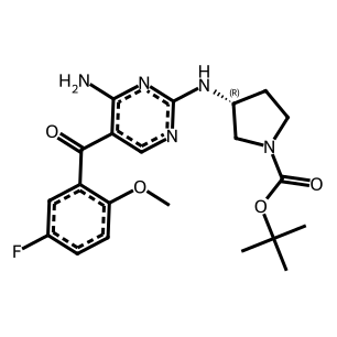 COc1ccc(F)cc1C(=O)c1cnc(N[C@@H]2CCN(C(=O)OC(C)(C)C)C2)nc1N